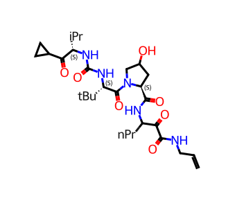 C=CCNC(=O)C(=O)C(CCC)NC(=O)[C@@H]1CC(O)CN1C(=O)[C@@H](NC(=O)N[C@H](C(=O)C1CC1)C(C)C)C(C)(C)C